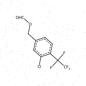 O=COCc1ccc(C(F)(F)C(F)(F)F)c(Cl)c1